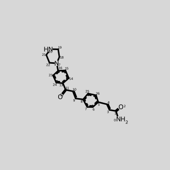 NC(=O)C=Cc1ccc(/C=C/C(=O)c2ccc(N3CCNCC3)cc2)cc1